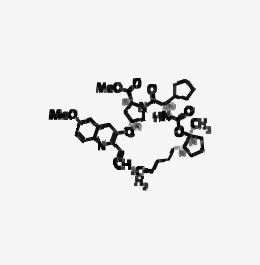 C=CCCC[C@H]1CCC[C@]1(C)OC(=O)N[C@H](C(=O)N1C[C@H](Oc2cc3cc(OC)ccc3nc2C=C)C[C@H]1C(=O)OC)C1CCCC1